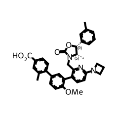 COc1ccc(-c2ccc(C(=O)O)cc2C)cc1-c1ccc(N2CCC2)nc1CN1C(=O)O[C@H](c2cccc(C)c2)[C@@H]1C